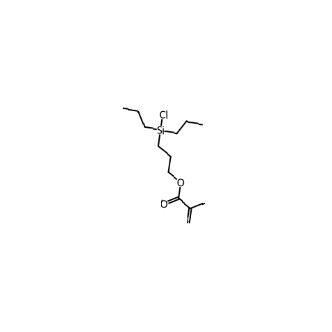 C=C(C)C(=O)OCCC[Si](Cl)(CCC)CCC